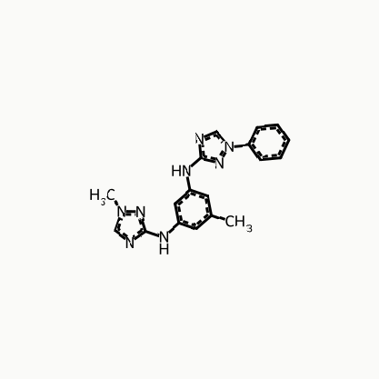 Cc1cc(Nc2ncn(C)n2)cc(Nc2ncn(-c3ccccc3)n2)c1